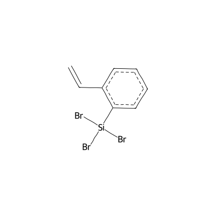 C=Cc1ccccc1[Si](Br)(Br)Br